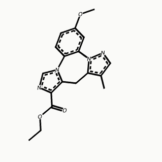 CCOC(=O)c1ncn2c1Cc1c(C)cnn1-c1cc(OC)ccc1-2